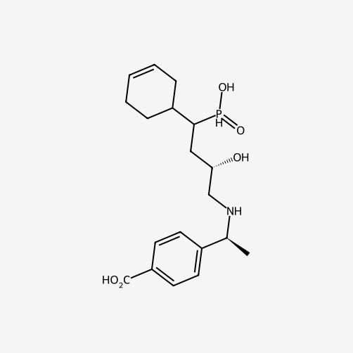 C[C@H](NC[C@@H](O)CC(C1CC=CCC1)[PH](=O)O)c1ccc(C(=O)O)cc1